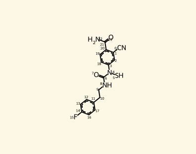 N#Cc1cc(N(S)C(=O)NCCc2ccc(F)cc2)ccc1C(N)=O